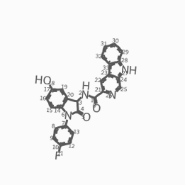 O=C(NC1C(=O)N(c2ccc(F)cc2)c2ccc(O)cc21)c1cc2c(cn1)[nH]c1ccccc12